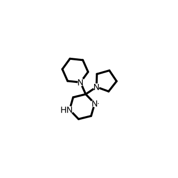 C1CCN(C2(N3CCCC3)CNCC[N]2)CC1